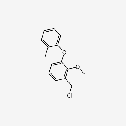 COc1c(CCl)cccc1Oc1ccccc1C